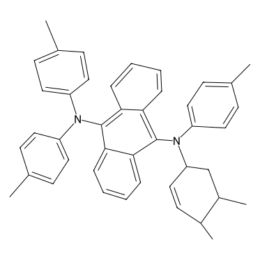 Cc1ccc(N(c2ccc(C)cc2)c2c3ccccc3c(N(c3ccc(C)cc3)C3C=CC(C)C(C)C3)c3ccccc23)cc1